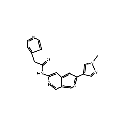 Cn1cc(-c2cc3cc(NC(=O)Cc4ccncc4)ncc3cn2)cn1